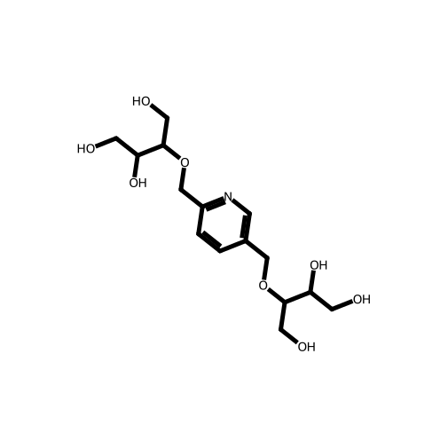 OCC(O)C(CO)OCc1ccc(COC(CO)C(O)CO)nc1